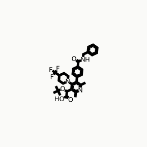 Cc1nc(C)c(C(OC(C)(C)C)C(=O)O)c(N2CCC(C(F)(F)F)CC2)c1-c1ccc(C(=O)NCc2ccccc2)cc1